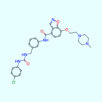 CN1CCN(CCOc2ccc(C(=O)Nc3cccc(CNC(=O)Nc4ccc(Cl)cc4)c3)c3cnoc23)CC1